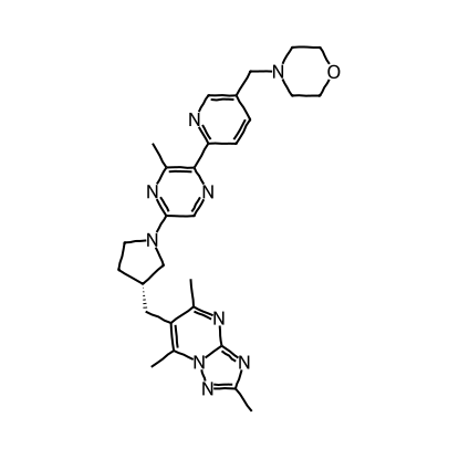 Cc1nc2nc(C)c(C[C@@H]3CCN(c4cnc(-c5ccc(CN6CCOCC6)cn5)c(C)n4)C3)c(C)n2n1